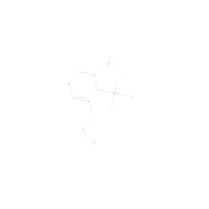 CCOc1cccc(O)c1C(C)(C)C